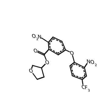 O=C(OC1CCOC1)c1cc(Oc2ccc(C(F)(F)F)cc2[N+](=O)[O-])ccc1[N+](=O)[O-]